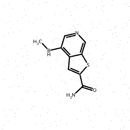 CBc1cncc2sc(C(N)=O)cc12